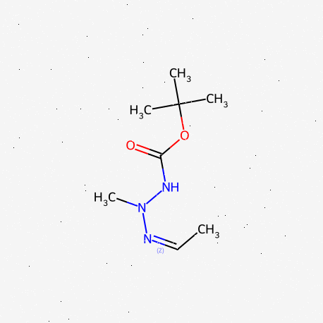 C/C=N\N(C)NC(=O)OC(C)(C)C